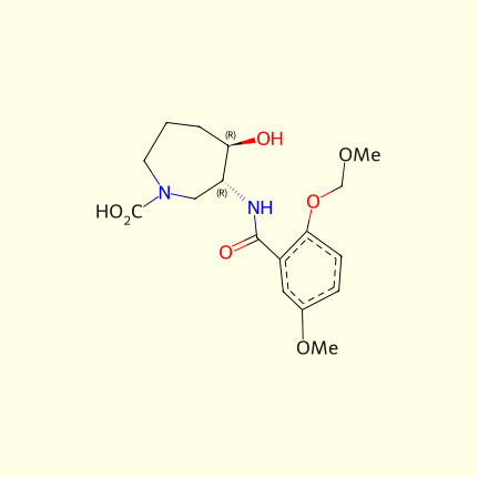 COCOc1ccc(OC)cc1C(=O)N[C@@H]1CN(C(=O)O)CCC[C@H]1O